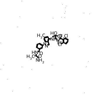 CCN(CC(O)(CNc1cc(C)cc2c1cnn2-c1cccc(C(=O)N[C@H](C)C(N)=O)c1)C(F)(F)F)C(=O)c1c(Cl)cccc1Cl